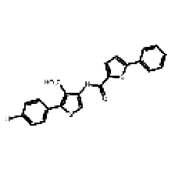 O=C(Nc1csc(-c2ccc(Cl)cc2)c1C(=O)O)c1ccc(-c2ccccc2)s1